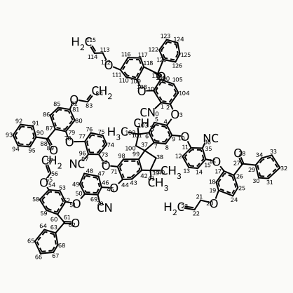 [C-]#[N+]c1c(Oc2cc3c(cc2Oc2cccc(Oc4cc(OCC=C)ccc4C(=O)c4ccccc4)c2[N+]#[C-])C2(CC(C)(C)c4cc(Oc5cccc(Oc6cc(OC=C)ccc6C(=O)c6ccccc6)c5C#N)c(Oc5cccc(Oc6cc(OC=C)ccc6C(=O)c6ccccc6)c5C#N)cc42)CC3(C)C)cccc1Oc1cc(OCC=C)ccc1C(=O)c1ccccc1